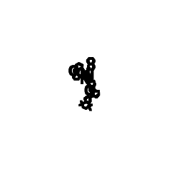 CC1(C)CCC(C)(C)c2cc(-c3cccc4c3oc3cc(-c5nc(-c6ccc7ccccc7c6)nc(-c6cccc7oc8ccccc8c67)n5)ccc34)ccc21